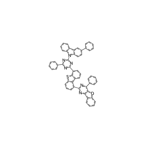 c1ccc(-c2ccc3c(c2)c2ccccc2n3-c2nc(-c3ccccc3)nc(-c3cccc4c3sc3cccc(-c5nc(-c6ccccc6)c6oc7ccccc7c6n5)c34)n2)cc1